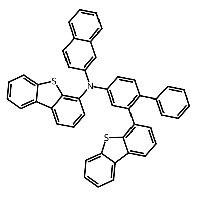 c1ccc(-c2ccc(N(c3ccc4ccccc4c3)c3cccc4c3sc3ccccc34)cc2-c2cccc3c2sc2ccccc23)cc1